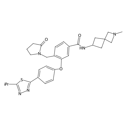 CC(C)c1nnc(-c2ccc(Oc3cc(C(=O)NC4CC5(C4)CN(C)C5)ccc3CN3CCCC3=O)cc2)s1